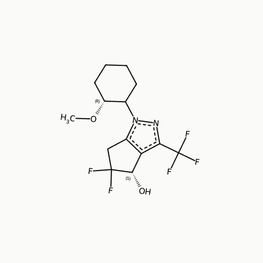 CO[C@@H]1CCCCC1n1nc(C(F)(F)F)c2c1CC(F)(F)[C@H]2O